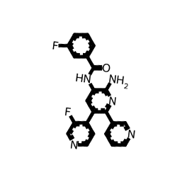 Nc1nc(-c2cccnc2)c(-c2ccncc2F)cc1NC(=O)c1cccc(F)c1